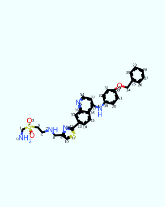 NCS(=O)(=O)CCNCc1csc(-c2ccc3c(Nc4ccc(OCc5ccccc5)cc4)ccnc3c2)n1